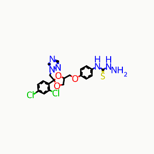 NNC(=S)Nc1ccc(OCC2COC(Cn3cncn3)(c3ccc(Cl)cc3Cl)O2)cc1